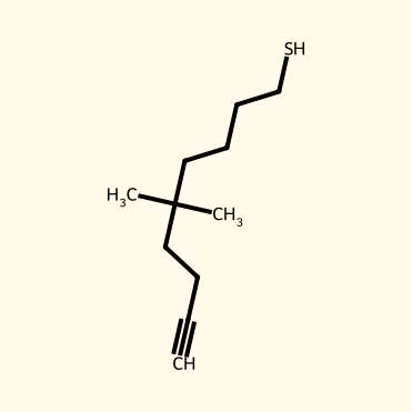 C#CCCC(C)(C)CCCCS